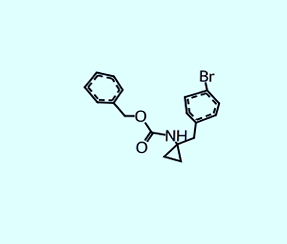 O=C(NC1(Cc2ccc(Br)cc2)CC1)OCc1ccccc1